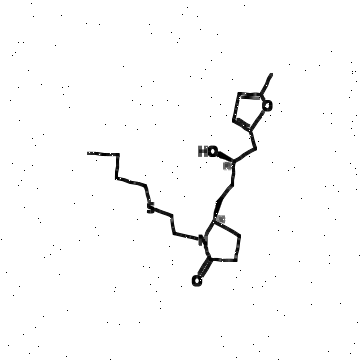 CCCCSCCN1C(=O)CC[C@@H]1CC[C@@H](O)Cc1ccc(C)o1